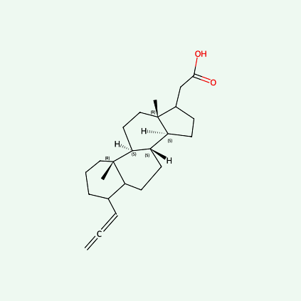 C=C=CC1CCC[C@@]2(C)C1CC[C@@H]1[C@@H]2CC[C@]2(C)C(CC(=O)O)CC[C@@H]12